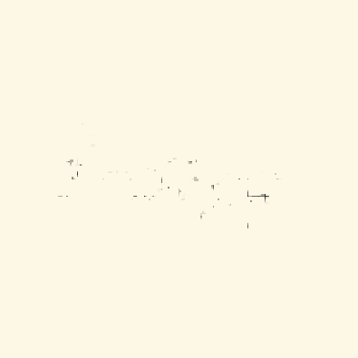 Cc1c(O)c(-c2ncc3cc(N4C[C@H](C)N[C@@H](C)C4)ccc3n2)cc2cn(C)nc12